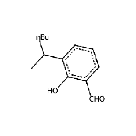 CCCCC(C)c1cccc(C=O)c1O